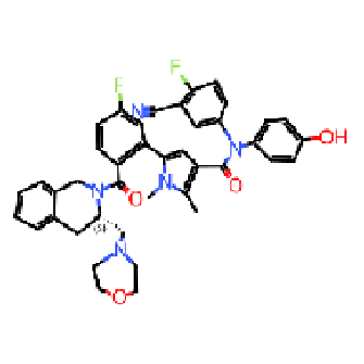 Cc1c(C(=O)N(c2ccc(O)cc2)c2ccc(F)c(C#N)c2)cc(-c2cc(F)ccc2C(=O)N2Cc3ccccc3C[C@H]2CN2CCOCC2)n1C